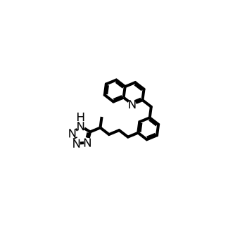 CC(CCCc1cccc(Cc2ccc3ccccc3n2)c1)c1nnn[nH]1